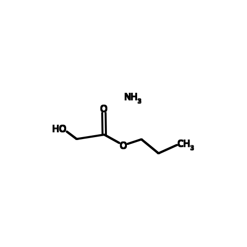 CCCOC(=O)CO.N